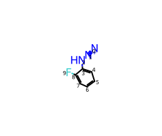 N#[N+]Nc1ccccc1F